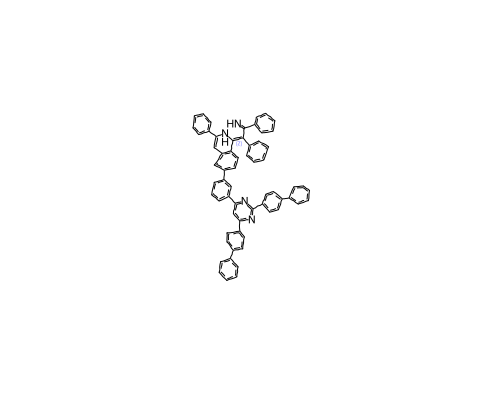 N=C(/C(=C1\NC(c2ccccc2)=Cc2cc(-c3cccc(-c4cc(-c5ccc(-c6ccccc6)cc5)nc(-c5ccc(-c6ccccc6)cc5)n4)c3)ccc21)c1ccccc1)c1ccccc1